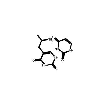 CC(N)Cc1c[nH]c(=O)[nH]c1=O.O=c1cc[nH]c(=O)[nH]1